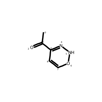 CC(=O)C1=NNOC=C1